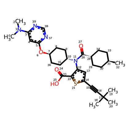 CN(C)c1cc(O[C@H]2CC[C@H](N(c3cc(C#CC(C)(C)C)sc3C(=O)O)C(=O)[C@H]3CC[C@H](C)CC3)CC2)ncn1